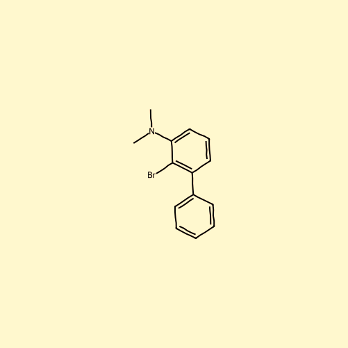 CN(C)c1cccc(-c2ccccc2)c1Br